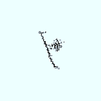 CCCCCCCC[CH-][CH-]CCCCCCCCCCCCCSP(S)S.COP(O)O.OCCCO.OCCCO.OCCCO.[Ni+2]